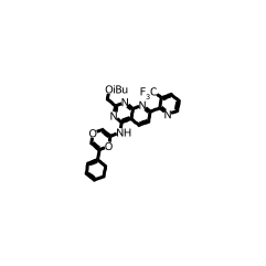 CC(C)COCc1nc(NC2=COC=C(C3=CC=CCC3)O2)c2ccc(-c3ncccc3C(F)(F)F)nc2n1